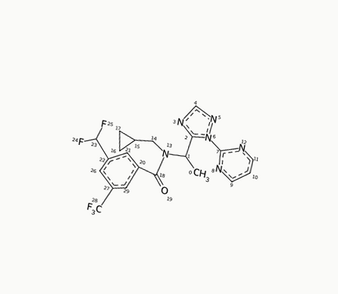 CC(c1ncnn1-c1ncccn1)N(CC1CC1)C(=O)c1cc(C(F)F)cc(C(F)(F)F)c1